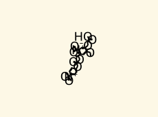 COc1cc(C(C)OC(=O)Oc2ccc([N+](=O)[O-])cc2)c([N+](=O)[O-])cc1OCC(=O)O